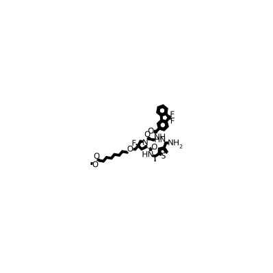 COC(=O)CCCCCCCOC[C@@]1(F)C[C@@H](C(=O)N[C@H](C)c2cc(C(=N)N)cs2)N(C(=O)CNC(=O)c2ccc3c(c2)-c2ccccc2C3(F)F)C1